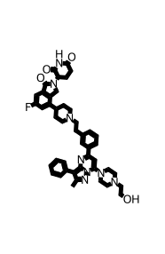 Cc1nn2c(N3CCN(CCO)CC3)cc(-c3cccc(CCN4CCC(c5cc(F)cc6c5CN(C5CCC(=O)NC5=O)C6=O)CC4)c3)nc2c1-c1ccccc1